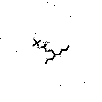 CCCCC(CCC)CNC(=O)OC(C)(C)C